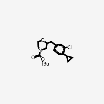 CC(C)(C)OC(=O)N1CCOC(Cc2ccc(C3CC3)c(Cl)c2)C1